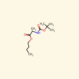 CCCCOC(=O)[C@H](C)NC(=O)OC(C)(C)C